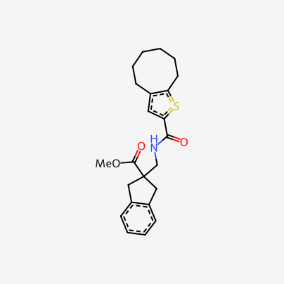 COC(=O)C1(CNC(=O)c2cc3c(s2)CCCCCC3)Cc2ccccc2C1